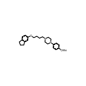 COc1ccc(N2CCN(CCCCOc3ccc4c(c3)CCC4)CC2)cc1